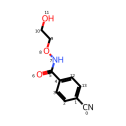 N#Cc1ccc(C(=O)NOCCO)cc1